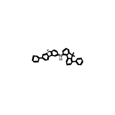 CC1(C)c2cccc(Nc3ccc4sc5cc(-c6ccccc6)ccc5c4c3)c2-c2cccc(-c3ccccc3)c21